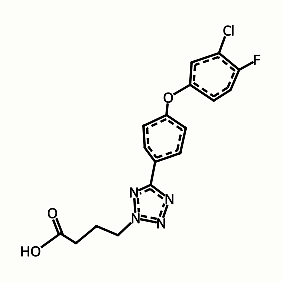 O=C(O)CCCn1nnc(-c2ccc(Oc3ccc(F)c(Cl)c3)cc2)n1